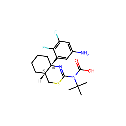 CC(C)(C)N(C(=O)O)C1=N[C@@]2(c3cc(N)cc(F)c3F)CCCC[C@H]2CS1